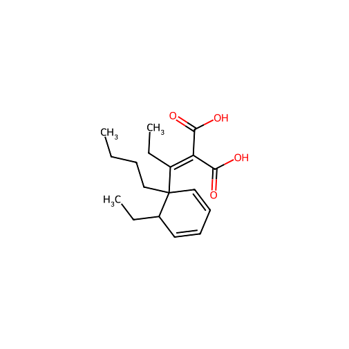 CCCCC1(C(CC)=C(C(=O)O)C(=O)O)C=CC=CC1CC